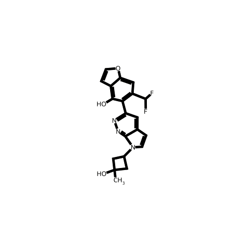 CC1(O)CC(n2ccc3cc(-c4c(C(F)F)cc5occc5c4O)nnc32)C1